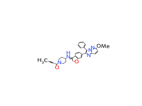 CC#CC(=O)N1CCC(N[C@H]2COc3cc(-c4nc5ccc(OC)nn5c4-c4ccccc4)ccc32)CC1